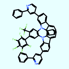 Fc1c(F)c(F)c(-c2cc(-n3c4ccccc4c4ccc(-c5ccnc(-c6ccccc6)c5)cc43)c(-n3c4ccccc4c4ccc(-c5ccnc(-c6ccccc6)c5)cc43)cc2C(F)(F)F)c(F)c1F